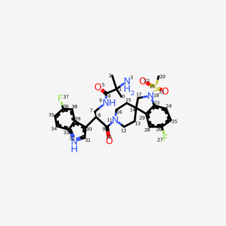 CC(C)(N)C(=O)NC[C@@H](C(=O)N1CCC2(CC1)CN(S(C)(=O)=O)c1ccc(F)cc12)c1c[nH]c2ccc(F)cc12